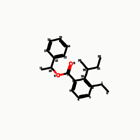 CCc1cccc(C(=O)OC(C)c2ccccc2)c1C(C)CC